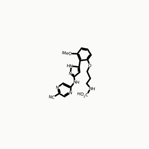 COc1cccc(OCCCNC(=O)O)c1-c1cc(Nc2cnc(C#N)cn2)n[nH]1